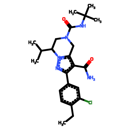 CCc1ccc(-c2nn3c(c2C(N)=O)CN(C(=O)NC(C)(C)C)CC3C(C)C)cc1Cl